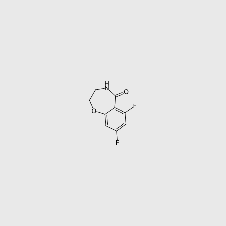 O=C1NCCOc2cc(F)cc(F)c21